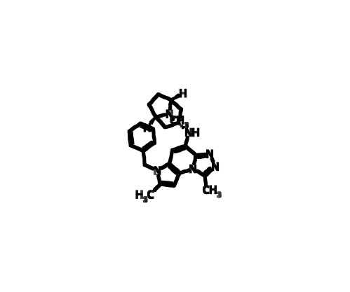 Cc1cc2c(cc(N[C@H]3C[C@H]4CC[C@@H](C3)N4C)c3nnc(C)n32)n1Cc1ccccc1